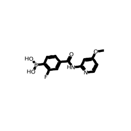 COc1ccnc(NC(=O)c2ccc(B(O)O)c(F)c2)c1